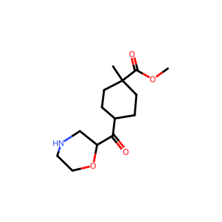 COC(=O)C1(C)CCC(C(=O)C2CNCCO2)CC1